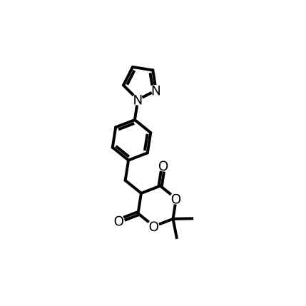 CC1(C)OC(=O)C(Cc2ccc(-n3cccn3)cc2)C(=O)O1